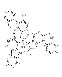 CCc1ccc2c(c1-c1ccccc1C(C)C)C=C(C)[CH]2[Zr]([Cl])([Cl])([c]1cccc2c1[SiH2]c1ccccc1-2)[CH]1C(C)=Cc2c1ccc(CC)c2-c1ccccc1C(C)C